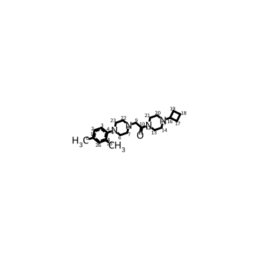 Cc1ccc(N2CCN(CC(=O)N3CCN(C4CCC4)CC3)CC2)c(C)c1